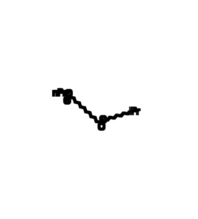 CCCOC(=O)CCCCCCCCCCC(=O)OCCCCCCCC(C)C